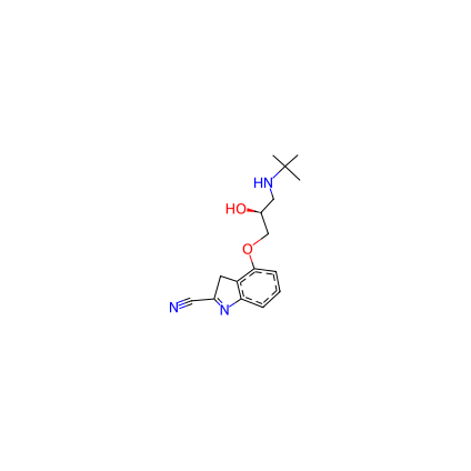 CC(C)(C)NC[C@H](O)COc1cccc2c1CC(C#N)=N2